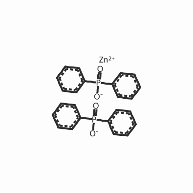 O=P([O-])(c1ccccc1)c1ccccc1.O=P([O-])(c1ccccc1)c1ccccc1.[Zn+2]